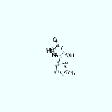 O=C1CC(O)C(c2cccc(I)c2)=NN1